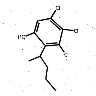 CCCC(C)c1c(O)cc(Cl)c(Cl)c1Cl